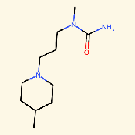 CC1CCN(CCCN(C)C(N)=O)CC1